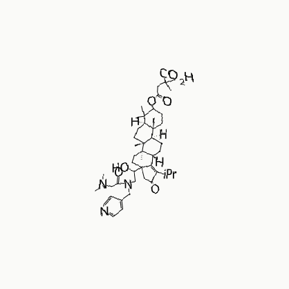 CC(C)C1=C2[C@H]3CC[C@@H]4[C@@]5(C)CC[C@H](OC(=O)CC(C)(C)C(=O)O)C(C)(C)[C@@H]5CC[C@@]4(C)[C@]3(C)CCC2(C(O)CN(Cc2ccncc2)C(=O)CN(C)C)CC1=O